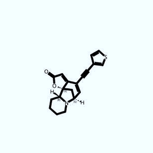 O=C1C=C2C(C#Cc3ccsc3)=C[C@@H]3C[C@@]2(O1)[C@H]1CCCCN31